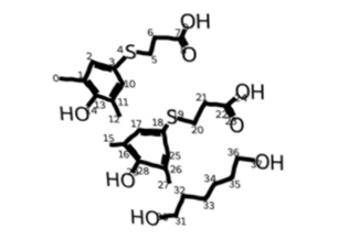 Cc1cc(SCCC(=O)O)cc(C)c1O.Cc1cc(SCCC(=O)O)cc(C)c1O.OCCCCCCO